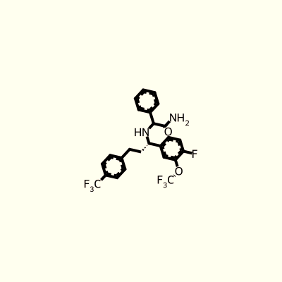 NC(=O)C(N[C@@H](CCc1ccc(C(F)(F)F)cc1)c1ccc(F)c(OC(F)(F)F)c1)c1ccccc1